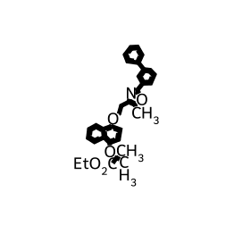 CCOC(=O)C(C)(C)Oc1ccc(OCCc2nc(-c3cccc(-c4ccccc4)c3)oc2C)c2ccccc12